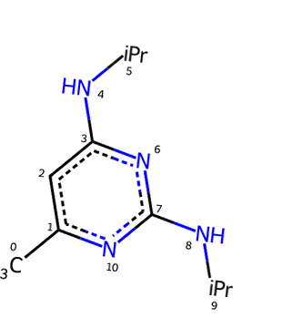 Cc1cc(NC(C)C)nc(NC(C)C)n1